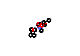 c1ccc(-c2ccc3c(ccc4c(N(c5cccc(-c6cccc7cccc(-c8ccccc8)c67)c5)c5ccccc5-n5c6ccccc6c6ccccc65)cccc43)c2)cc1